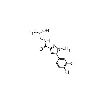 C[C@@H](O)CNC(=O)c1cc(-c2ccc(Cl)c(Cl)c2)n(C)n1